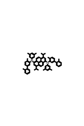 Cc1cc(C)cc(N(c2cc(-c3ccccc3C)ccc2C)c2cc(C(C)C)c3ccc4c(N(c5cc(C)cc(C)c5)c5cc(-c6ccccc6C)ccc5C)cc(C(C)C)c5ccc2c3c54)c1